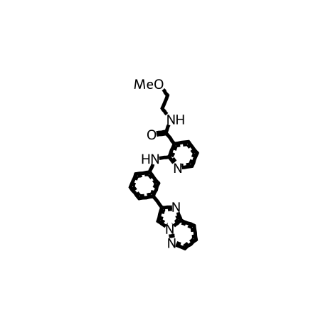 COCCNC(=O)c1cccnc1Nc1cccc(-c2cn3ncccc3n2)c1